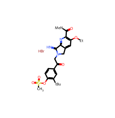 Br.CCOc1cc2c(nc1C(=O)NC)C(=N)N(CC(=O)c1ccc(OS(C)(=O)=O)c(C(C)(C)C)c1)C2